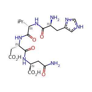 CC(C)[C@H](NC(=O)[C@@H](N)Cc1c[nH]cn1)C(=O)N[C@@H](CC(=O)O)C(=O)N[C@@H](CC(N)=O)C(=O)O